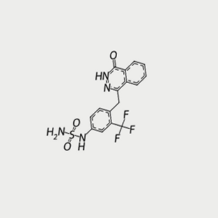 NS(=O)(=O)Nc1ccc(Cc2n[nH]c(=O)c3ccccc23)c(C(F)(F)F)c1